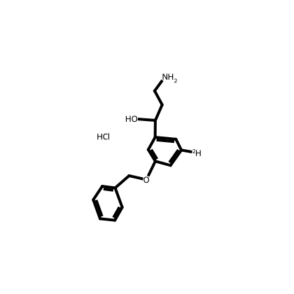 Cl.[2H]c1cc(OCc2ccccc2)cc(C(O)CCN)c1